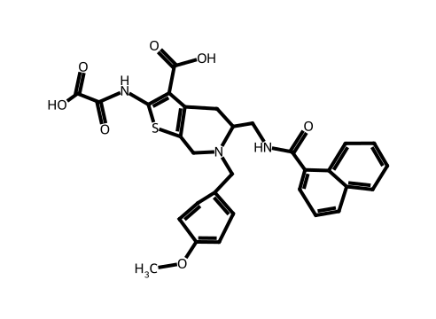 COc1ccc(CN2Cc3sc(NC(=O)C(=O)O)c(C(=O)O)c3CC2CNC(=O)c2cccc3ccccc23)cc1